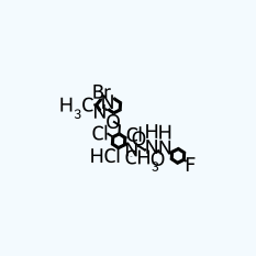 Cc1nc2c(OCc3c(Cl)ccc(N(C)C(=O)CNC(=O)Nc4ccc(F)cc4)c3Cl)cccn2c1Br.Cl